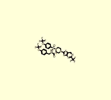 O=C(NCc1ccc(OC(F)(F)F)cc1)[C@H]1CN(c2nc3nc(C(F)(F)F)ncc3s2)CCN1S(=O)(=O)c1ccc(OC(F)(F)F)cc1